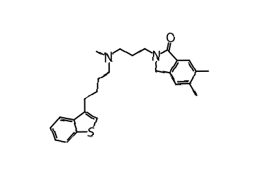 Cc1cc2c(cc1C)C(=O)N(CCCN(C)CCCCc1csc3ccccc13)C2